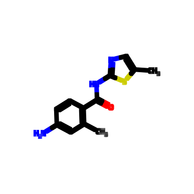 Cc1cnc(NC(=O)c2ccc(N)cc2C)s1